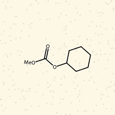 COC(=O)OC1CCCCC1